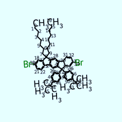 CCCCCCCCC1(CCCCCCCC)c2cc(Br)ccc2-c2cc3c(cc21)C1C=CC(Br)=CC1C3(c1ccc(C(C)(C)C)cc1)c1ccc(C(C)(C)C)cc1